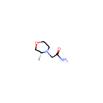 C[C@@H]1COCCN1CC(N)=O